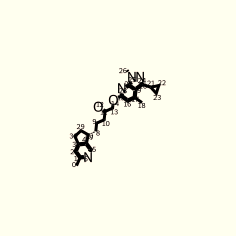 Cc1cc2c(cn1)[C@@H](CCCC(=O)COc1cc(C)c3c(C4CC4)nn(C)c3n1)CC2